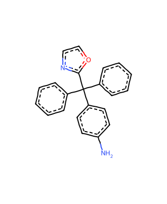 Nc1ccc(C(c2ccccc2)(c2ccccc2)c2ncco2)cc1